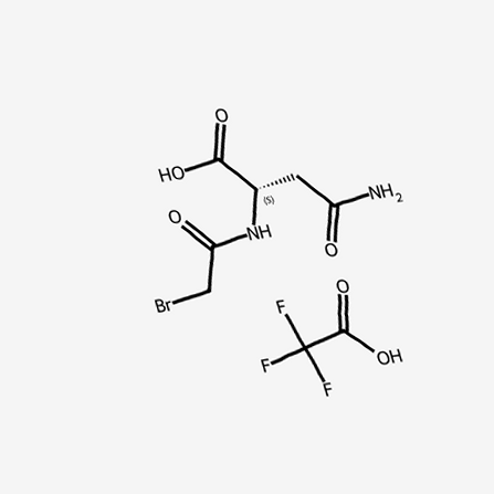 NC(=O)C[C@H](NC(=O)CBr)C(=O)O.O=C(O)C(F)(F)F